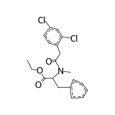 CCOC(=O)C(Cc1ccccc1)N(C)C(=O)Cc1ccc(Cl)cc1Cl